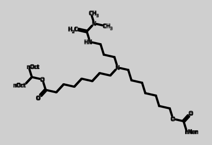 C=C(NCCCN(CCCCCCCOC(=O)CCCCCCCCC)CCCCCCCC(=O)OC(CCCCCCCC)CCCCCCCC)N(C)C